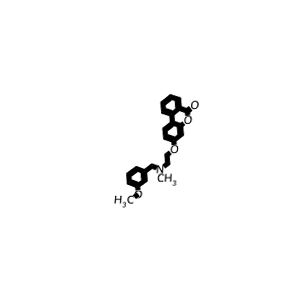 COc1cccc(CN(C)CCOc2ccc3c(c2)oc(=O)c2ccccc23)c1